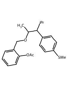 CSc1ccc(C(C(C)C)C(C)OCc2ccccc2OC(C)=O)cc1